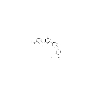 COC(=O)[C@H]1CC[C@H](C(C)c2ncc(-c3cc(C)cc(Nc4nccc(C(F)F)n4)c3)cn2)CC1